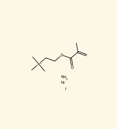 C=C(C)C(=O)OCC[N+](C)(C)C.I.N.[I-]